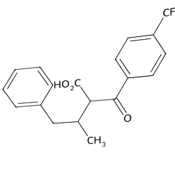 CC(Cc1ccccc1)C(C(=O)O)C(=O)c1ccc(C(F)(F)F)cc1